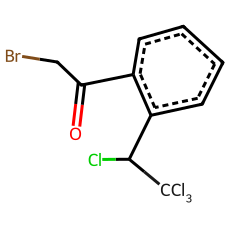 O=C(CBr)c1ccccc1C(Cl)C(Cl)(Cl)Cl